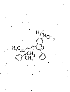 CN(C)C1=CC2OC(c3ccccc3)=C/C(=C\C=C\C3=[N+](C)c4ccccc4C3(C)C)C2C=C1